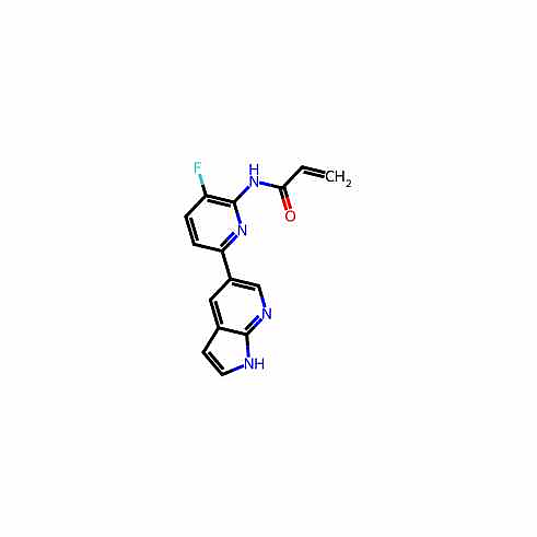 C=CC(=O)Nc1nc(-c2cnc3[nH]ccc3c2)ccc1F